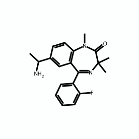 CC(N)c1ccc2c(c1)C(c1ccccc1F)=NC(C)(C)C(=O)N2C